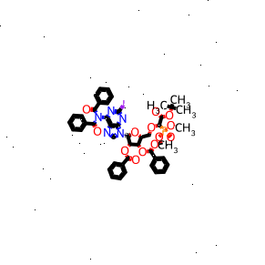 COP(=O)(OC)C(OCC1O[C@@H](n2cnc3c(N(C(=O)c4ccccc4)C(=O)c4ccccc4)nc(I)nc32)C(OC(=O)c2ccccc2)C1OC(=O)c1ccccc1)C(=O)OC(C)(C)C